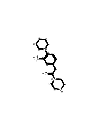 O=C(Cc1ccc(N2CCCCC2)c([N+](=O)[O-])c1)N1CCOCC1